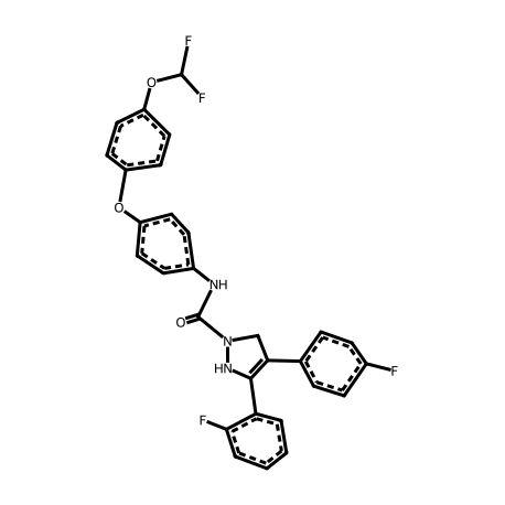 O=C(Nc1ccc(Oc2ccc(OC(F)F)cc2)cc1)N1CC(c2ccc(F)cc2)=C(c2ccccc2F)N1